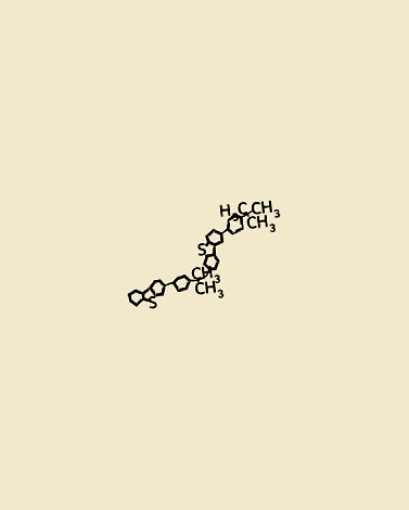 CC(C)(C)c1ccc(-c2ccc3sc4cc(CC(C)(C)c5ccc(-c6ccc7c(c6)sc6ccccc67)cc5)ccc4c3c2)cc1